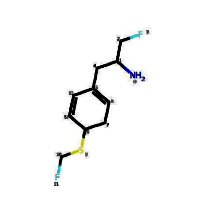 NC(CF)CC1=CCC(SCF)C=C1